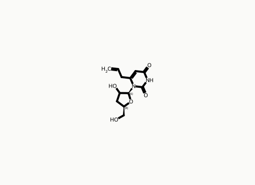 C=CCc1cc(=O)[nH]c(=O)n1[C@H]1O[C@@H](CO)CC1O